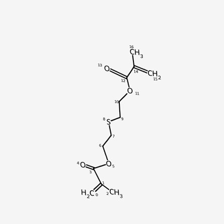 C=C(C)C(=O)OCCSCCOC(=O)C(=C)C